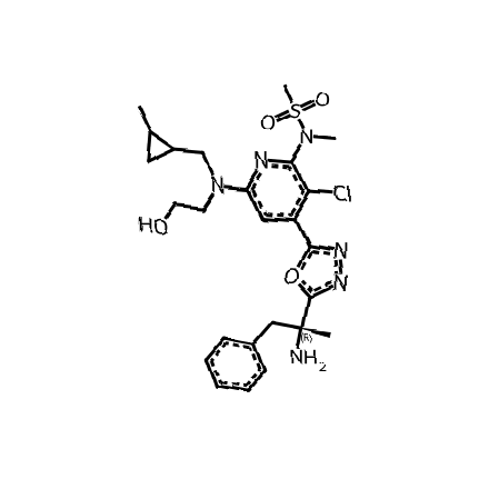 CC1CC1CN(CCO)c1cc(-c2nnc([C@](C)(N)Cc3ccccc3)o2)c(Cl)c(N(C)S(C)(=O)=O)n1